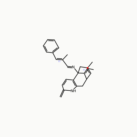 C=C1C=CC2=C(CC3C=C(C)CC2(N=C/C(C)=C/c2ccccc2)/C3=C/C)N1